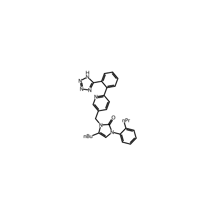 CCCCc1cn(-c2ccccc2CCC)c(=O)n1Cc1ccc(-c2ccccc2-c2nnn[nH]2)nc1